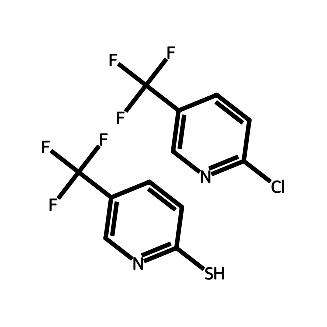 FC(F)(F)c1ccc(Cl)nc1.FC(F)(F)c1ccc(S)nc1